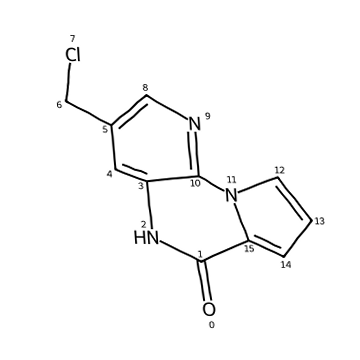 O=c1[nH]c2cc(CCl)cnc2n2cccc12